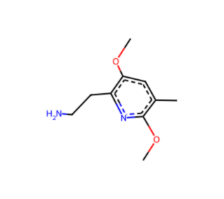 COc1cc(C)c(OC)nc1CCN